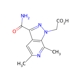 Cc1cc2c(C(N)=O)nn(CC(=O)O)c2c(C)n1